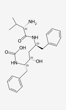 CC(C)[C@H](N)C(=O)N[C@@H](Cc1ccccc1)C[C@H](O)[C@H](Cc1ccccc1)NC(=O)O